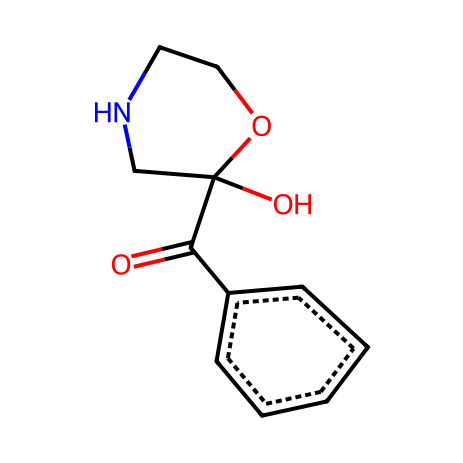 O=C(c1ccccc1)C1(O)CNCCO1